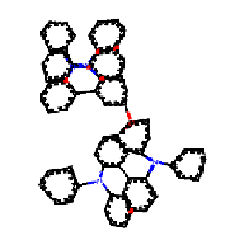 c1ccc(N(c2ccccc2)c2ccccc2-c2cc(Oc3ccc(N(c4ccccc4)c4ccccc4)c(-c4ccccc4N(c4ccccc4)c4ccccc4)c3)ccc2N(c2ccccc2)c2ccccc2)cc1